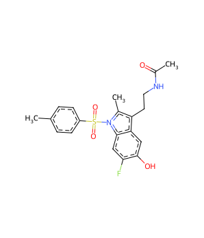 CC(=O)NCCc1c(C)n(S(=O)(=O)c2ccc(C)cc2)c2cc(F)c(O)cc12